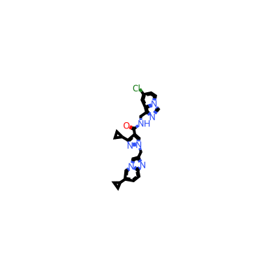 O=C(NCc1ncn2ccc(Cl)cc12)c1cn(Cc2cn3cc(C4CC4)ccc3n2)nc1C1CC1